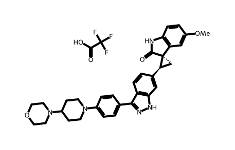 COc1ccc2c(c1)[C@]1(C[C@H]1c1ccc3c(-c4ccc(N5CCC(N6CCOCC6)CC5)cc4)n[nH]c3c1)C(=O)N2.O=C(O)C(F)(F)F